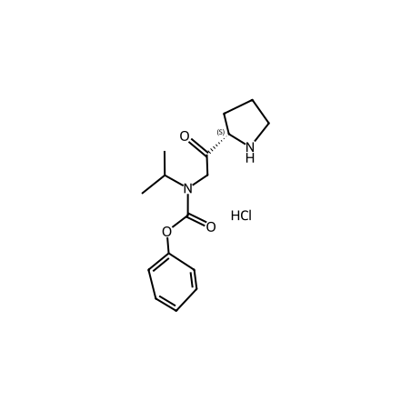 CC(C)N(CC(=O)[C@@H]1CCCN1)C(=O)Oc1ccccc1.Cl